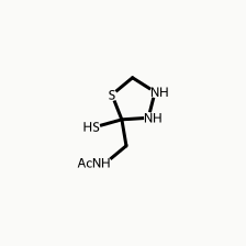 CC(=O)NCC1(S)NNCS1